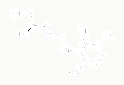 Cc1ccc([N+](=O)[O-])c(NC/C=C/[C@@H](O)CN)c1C